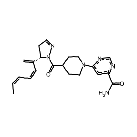 C=C(/C=C\C=C/C)[C@@H]1CC=NN1C(=O)C1CCN(c2cc(C(N)=O)ncn2)CC1